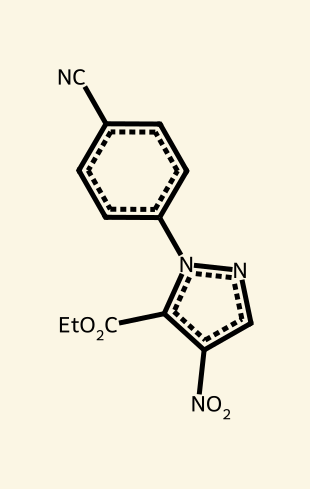 CCOC(=O)c1c([N+](=O)[O-])cnn1-c1ccc(C#N)cc1